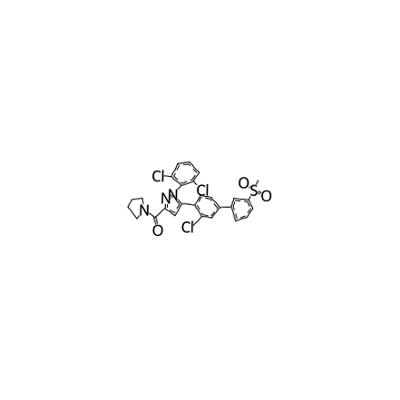 CS(=O)(=O)c1cccc(-c2ccc(-c3cc(C(=O)N4CCCC4)nn3-c3c(Cl)cccc3Cl)c(Cl)c2)c1